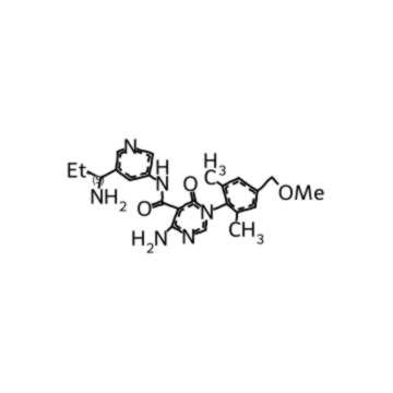 CC[C@H](N)c1cncc(NC(=O)c2c(N)ncn(-c3c(C)cc(COC)cc3C)c2=O)c1